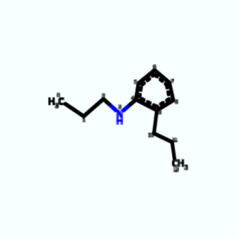 CCCNc1ccccc1CCC